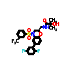 CC(C)(O)C(=O)NC[C@H]1CN(S(=O)(=O)c2cccc(C(F)(F)F)c2)c2cc(-c3cc(F)ccc3F)ccc2O1